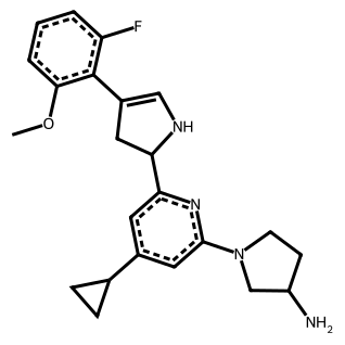 COc1cccc(F)c1C1=CNC(c2cc(C3CC3)cc(N3CCC(N)C3)n2)C1